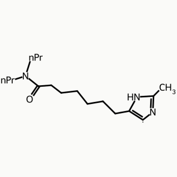 CCCN(CCC)C(=O)CCCCCCc1[c]nc(C)[nH]1